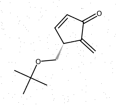 C=C1C(=O)C=C[C@H]1COC(C)(C)C